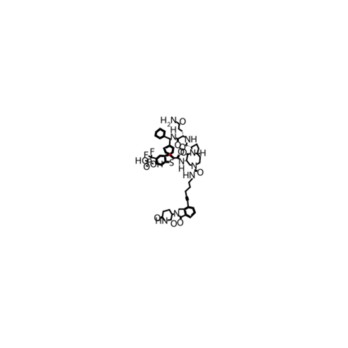 NC(=O)CC[C@H](NC(=O)[C@@H]1CC[C@@H]2CCN(C(=O)NCCCCC#Cc3cccc4c3CN(C3CCC(=O)NC3=O)C4=O)C[C@H](NC(=O)c3cc4cc(C(F)(F)P(=O)(O)O)ccc4s3)C(=O)N21)C(=O)NC(c1ccccc1)c1ccccc1